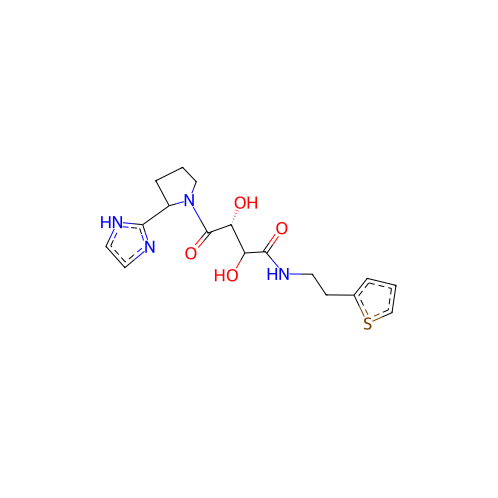 O=C(NCCc1cccs1)C(O)[C@@H](O)C(=O)N1CCCC1c1ncc[nH]1